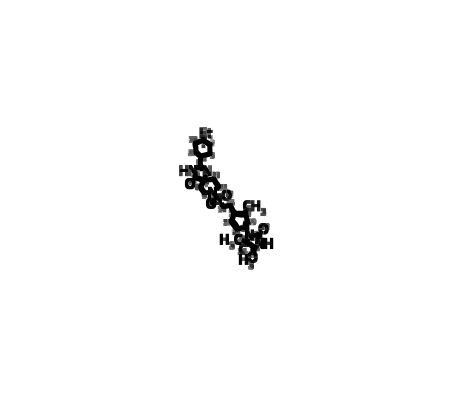 CCC1CCC(C2=NC3(CCN(S(=O)(=O)CCc4ccc(N5C(=O)NC(=O)C5(C)C)cc4C)CC3)C(=O)N2)CC1